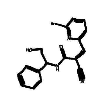 N#CC(=Cc1cccc(Br)n1)C(=O)NC(CO)c1ccccc1